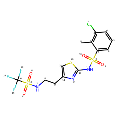 Cc1c(Cl)cccc1S(=O)(=O)Nc1nc(CCNS(=O)(=O)C(F)(F)F)cs1